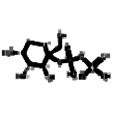 N[C@@H]1CO[C@](CO)(OP(=O)(O)OP(=O)(O)O)[C@@H](O)[C@@H]1O